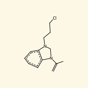 C=C(C)N1CN(CCCCl)c2ccccc21